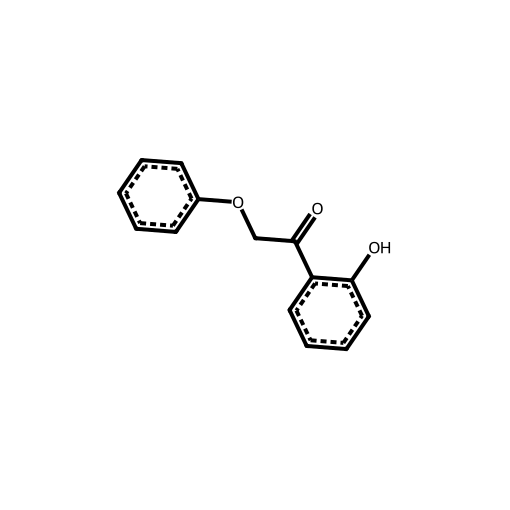 O=C(COc1ccccc1)c1ccccc1O